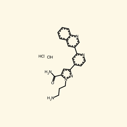 Cl.Cl.NCCCn1nc(-c2ccnc(-c3cnc4ccccc4c3)c2)cc1C(N)=O